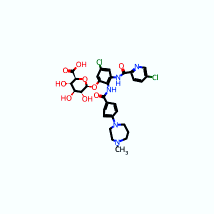 CN1CCCN(c2ccc(C(=O)Nc3c(NC(=O)c4ccc(Cl)cn4)cc(Cl)cc3O[C@@H]3O[C@H](C(=O)O)[C@@H](O)[C@H](O)[C@H]3O)cc2)CC1